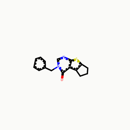 O=c1c2c3c(sc2ncn1Cc1ccccc1)CCC3